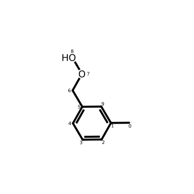 Cc1cccc(COO)c1